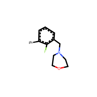 CC(C)c1cccc(CN2CCOCC2)c1F